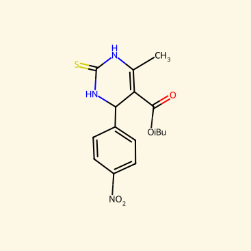 CC1=C(C(=O)OCC(C)C)C(c2ccc([N+](=O)[O-])cc2)NC(=S)N1